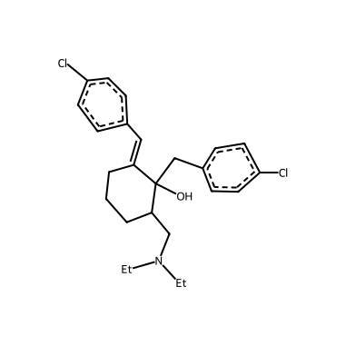 CCN(CC)CC1CCCC(=Cc2ccc(Cl)cc2)C1(O)Cc1ccc(Cl)cc1